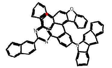 c1ccc(-c2nc(-c3ccc4ccccc4c3)nc(-c3ccc(-n4c5ccccc5c5cc6ccccc6cc54)cc3-c3c4ccccc4cc4oc5ccccc5c34)n2)cc1